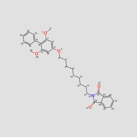 COc1cc(OCCCCCCCCCN2C(=O)c3ccccc3C2=O)cc(OC)c1-c1ccccc1